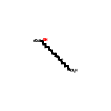 CCCCCCCCC(O)CCCCCCCCCCCCCCCCCC(=O)O